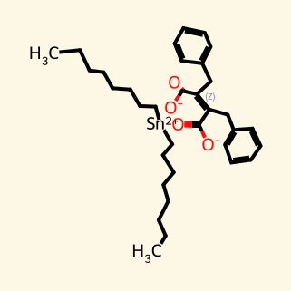 CCCCCCC[CH2][Sn+2][CH2]CCCCCCC.O=C([O-])/C(Cc1ccccc1)=C(/Cc1ccccc1)C(=O)[O-]